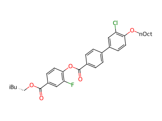 CCCCCCCCOc1ccc(-c2ccc(C(=O)Oc3ccc(C(=O)OC[C@@H](C)CC)cc3F)cc2)cc1Cl